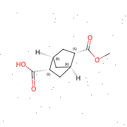 COC(=O)[C@H]1C[C@H]2C[C@@H]1C[C@@H]2C(=O)O